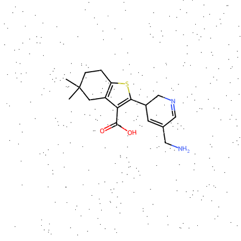 CC1(C)CCc2sc(C3C=C(CN)C=NC3)c(C(=O)O)c2C1